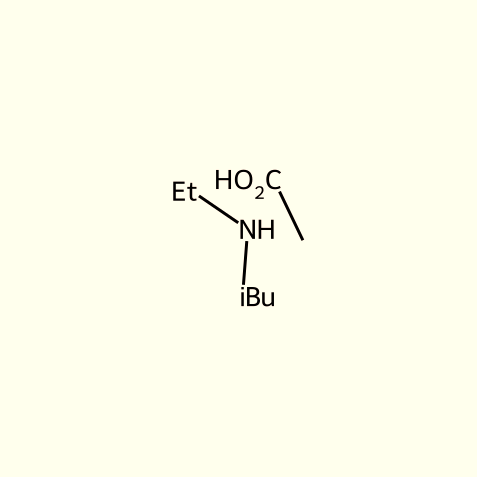 CC(=O)O.CCNC(C)CC